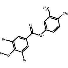 CCOc1c(Br)cc(C(=O)Nc2ccc(C=O)c(C)c2)cc1Br